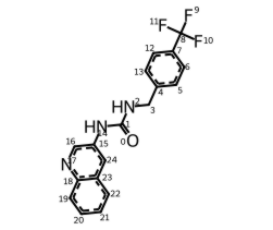 O=C(NCc1ccc(C(F)(F)F)cc1)Nc1cnc2ccccc2c1